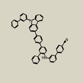 N#Cc1ccc(-c2cccc(Nc3ccc(-c4ccc(-c5ccc6c(c5)c5ccccc5n6-c5cccc(-c6ccccc6)c5)cc4)cc3-c3ccccc3)c2)cc1